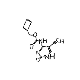 C#Cc1c[nH]c(=O)nc1NC(=O)OCC1CCC1